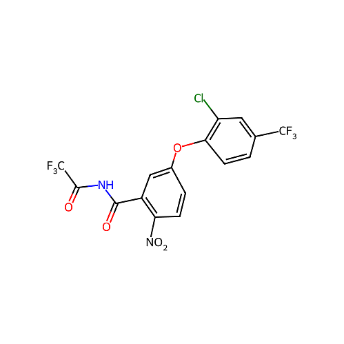 O=C(NC(=O)C(F)(F)F)c1cc(Oc2ccc(C(F)(F)F)cc2Cl)ccc1[N+](=O)[O-]